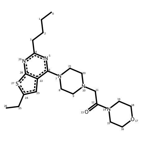 CCCCc1nc(N2CCN(CC(=O)N3CCOCC3)CC2)c2cc(CC)sc2n1